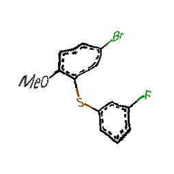 COc1ccc(Br)cc1Sc1cccc(F)c1